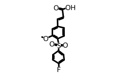 COc1cc(C=CC(=O)O)ccc1S(=O)(=O)c1ccc(F)cc1